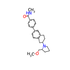 CNC(=O)c1ccc(-c2ccc3c(c2)CCC(N2CCCC2COC)C3)cc1